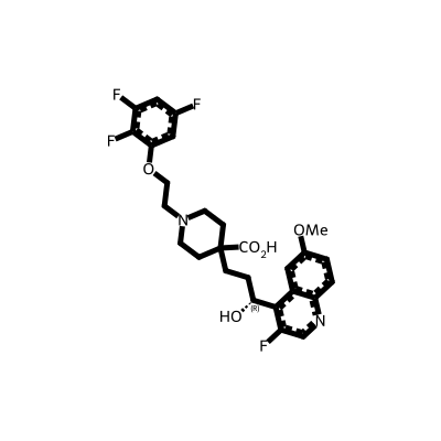 COc1ccc2ncc(F)c([C@H](O)CCC3(C(=O)O)CCN(CCOc4cc(F)cc(F)c4F)CC3)c2c1